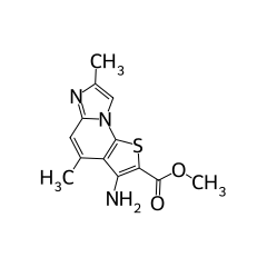 COC(=O)c1sc2c(c(C)cc3nc(C)cn32)c1N